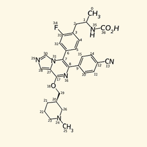 CC(Cc1ccc(-c2c(-c3ccc(C#N)cc3)nc(OC[C@@H]3CCCN(C)C3)c3cncn23)cc1F)NC(=O)O